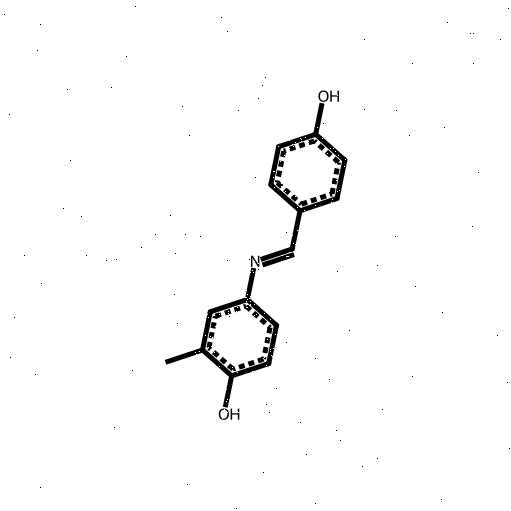 Cc1cc(/N=C/c2ccc(O)cc2)ccc1O